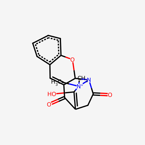 C[N+]1(C)C(O)=C2CC(=O)N1C1Oc3ccccc3C=C1C2=O